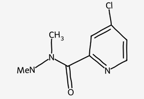 CNN(C)C(=O)c1cc(Cl)ccn1